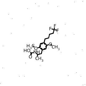 COc1cc(CC(C)NC(=O)O)c(OC)cc1CCCCC(F)(F)F